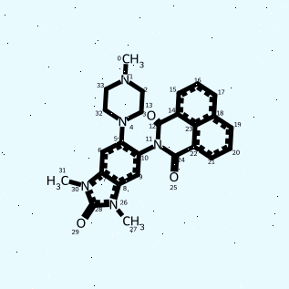 CN1CCN(c2cc3c(cc2N2C(=O)c4cccc5cccc(c45)C2=O)n(C)c(=O)n3C)CC1